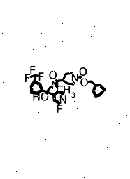 CN(CC(O)(c1cccc(C(F)(F)F)c1)c1ccnc(F)c1)C(=O)C1CCN(C(=O)OCc2ccccc2)CC1